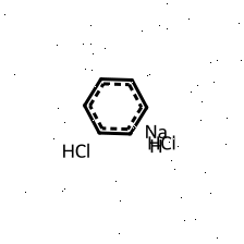 Cl.Cl.[NaH].c1ccccc1